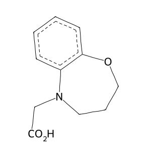 O=C(O)CN1CCCOc2ccccc21